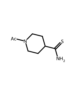 CC(=O)N1CCC(C(N)=S)CC1